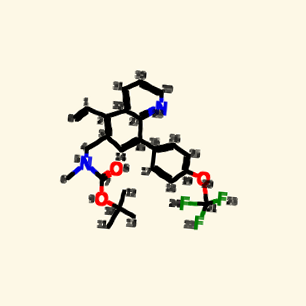 C=Cc1c(CN(C)C(=O)OC(C)(C)C)cc(-c2ccc(OC(F)(F)F)cc2)c2ncccc12